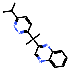 CC(C)c1ccc(C(C)(C)c2cnc3ccccc3n2)nn1